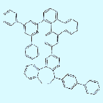 c1ccc(-c2ccc(C3CCc4ccccc4-c4cc(-c5ccc6c(c5)c5ccccc5c5cccc(-c7cc(-c8ccccc8)cc(-c8ccccc8)n7)c56)ccc43)cc2)cc1